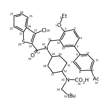 CCOc1ccc(-c2ccc(C(C)=O)cc2)cc1CN(C(=O)c1sc2ccccc2c1Cl)C1CCC(N(CC(C)(C)C)C(=O)O)CC1